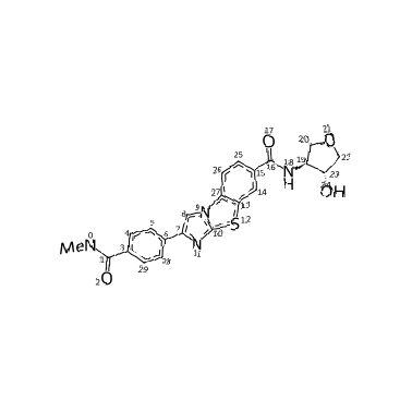 CNC(=O)c1ccc(-c2cn3c(n2)sc2cc(C(=O)N[C@H]4COC[C@@H]4O)ccc23)cc1